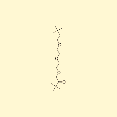 CC(C)(C)CCOCCOCCOCC(=O)C(C)(C)C